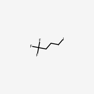 FC(F)(F)CC[CH]I